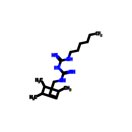 CC1C2=CC(C)C2(CNC(=N)NC(=N)NCCCCCC(F)(F)F)C1C